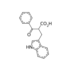 O=C(O)C(Cc1c[nH]c2ccccc12)C(=O)c1ccccc1